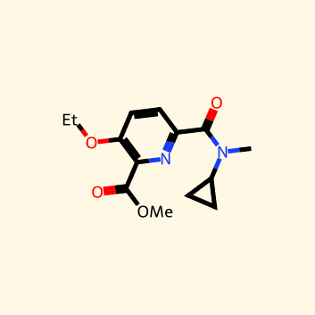 CCOc1ccc(C(=O)N(C)C2CC2)nc1C(=O)OC